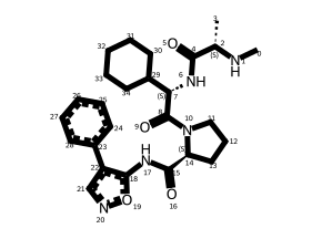 CN[C@@H](C)C(=O)N[C@H](C(=O)N1CCC[C@H]1C(=O)Nc1oncc1-c1ccccc1)C1CCCCC1